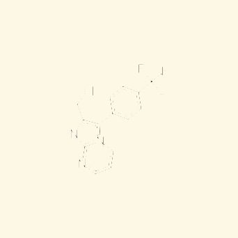 FC(F)(F)c1ccc(-c2c(CCl)nc3ncccn23)cc1